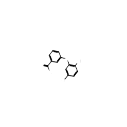 O=C(Cl)c1cccc(Oc2cc(Cl)ccc2Cl)c1